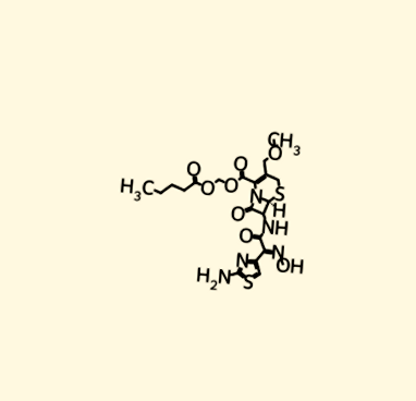 CCCCC(=O)OCOC(=O)C1=C(COC)CS[C@H]2C(NC(=O)C(=NO)c3csc(N)n3)C(=O)N12